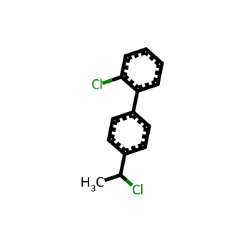 CC(Cl)c1ccc(-c2ccccc2Cl)cc1